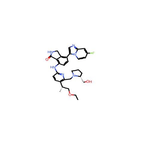 CCOC[C@H](C)c1ccc(Nc2ccc(-c3cnc4cc(F)ccn34)c3c2C(=O)NC3)nc1CN1CCC[C@@H]1CO